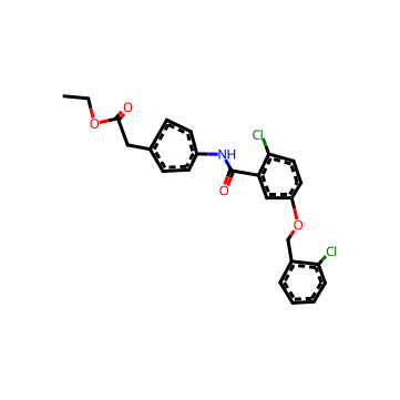 CCOC(=O)Cc1ccc(NC(=O)c2cc(OCc3ccccc3Cl)ccc2Cl)cc1